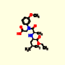 CCOC(=O)C(CC(C)C)NC(C)C(=O)N(CC(=O)O)c1cccc(OC)c1